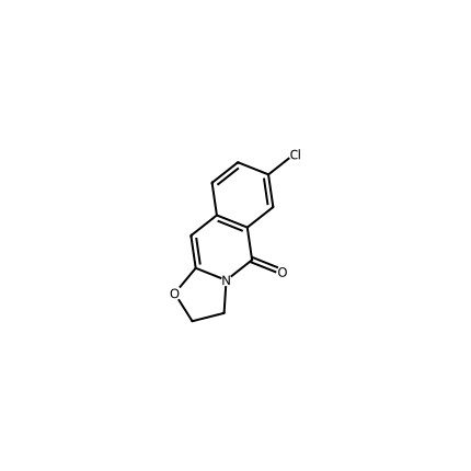 O=c1c2cc(Cl)ccc2cc2n1CCO2